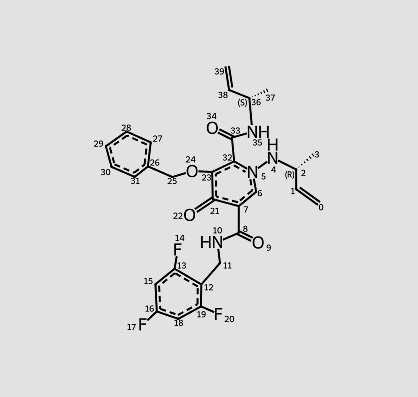 C=C[C@@H](C)Nn1cc(C(=O)NCc2c(F)cc(F)cc2F)c(=O)c(OCc2ccccc2)c1C(=O)N[C@@H](C)C=C